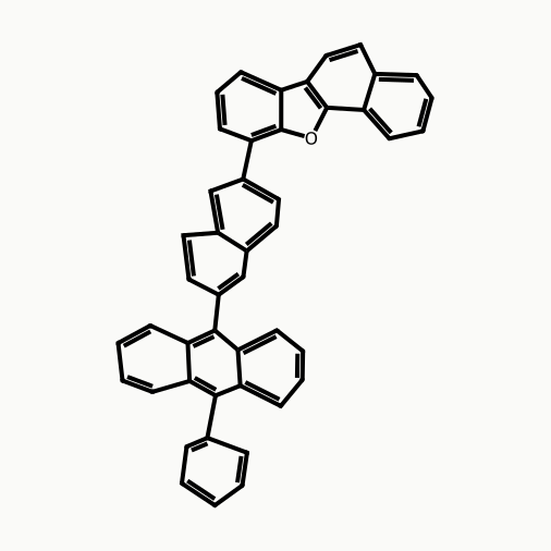 c1ccc(-c2c3ccccc3c(-c3ccc4cc(-c5cccc6c5oc5c7ccccc7ccc65)ccc4c3)c3ccccc23)cc1